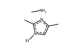 CCn1cc(C)nc1C.CN